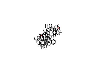 C=C[C@H]1O[C@H]2C[C@H]3OC[C@@]3(OC(C)=O)[C@H]3[C@H](OC(=O)c4ccccc4)[C@]4(O)C[C@H](OC(=O)[C@H](O)[C@H](CC(C)C)NC(=O)OC(C)(C)C)C(C)=C([C@H](C)[C@H](O1)[C@]23C)C4(C)C